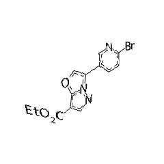 CCOC(=O)c1cnn2c(-c3ccc(Br)nc3)coc12